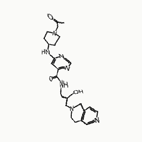 CC(=O)N1CCC(Nc2cc(C(=O)NCC(O)CN3CCc4cnccc4C3)ncn2)CC1